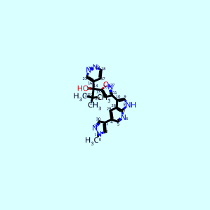 Cn1cc(-c2cnc3[nH]cc(-c4cc(C(O)(c5ccnnc5)C(C)(C)C)on4)c3c2)cn1